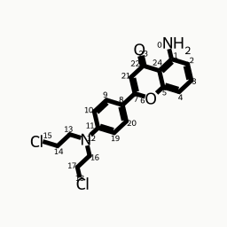 Nc1cccc2oc(-c3ccc(N(CCCl)CCCl)cc3)cc(=O)c12